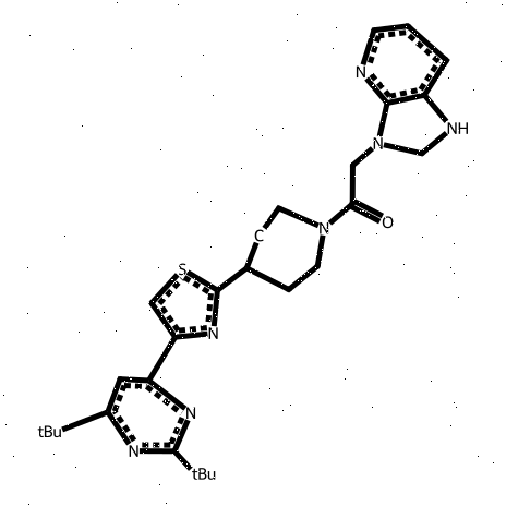 CC(C)(C)c1cc(-c2csc(C3CCN(C(=O)CN4CNc5cccnc54)CC3)n2)nc(C(C)(C)C)n1